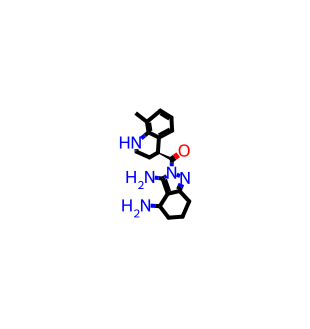 Cc1cccc2c1NCC[C@@H]2C(=O)n1nc2c(c1N)C(N)CCC2